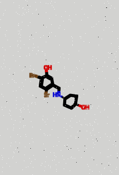 Oc1cc(CN[C@H]2CC[C@H](O)CC2)c(Br)cc1Br